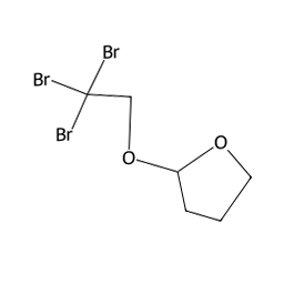 BrC(Br)(Br)COC1CCCO1